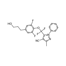 Cc1nn(-c2ccccc2)c(C(F)(F)Oc2c(F)cc(CCCO)cc2F)c1C#N